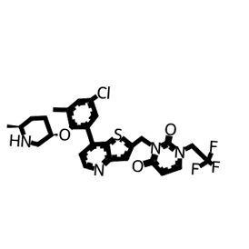 Cc1cc(Cl)cc(-c2ccnc3cc(Cn4c(=O)ccn(CC(F)(F)F)c4=O)sc23)c1O[C@H]1CC[C@H](C)NC1